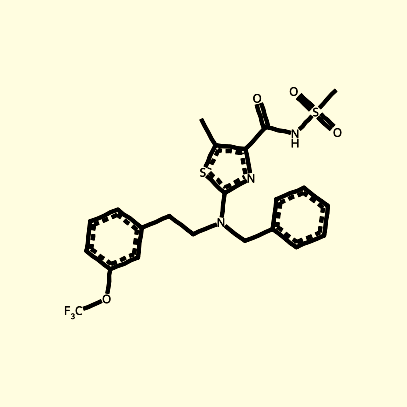 Cc1sc(N(CCc2cccc(OC(F)(F)F)c2)Cc2ccccc2)nc1C(=O)NS(C)(=O)=O